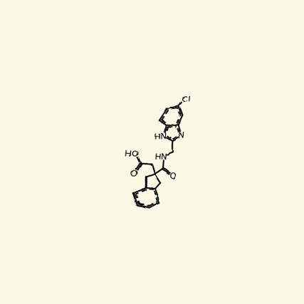 O=C(O)CC1(C(=O)NCc2nc3cc(Cl)ccc3[nH]2)Cc2ccccc2C1